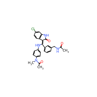 CC(=O)NCc1cccc(C(Nc2ccc(N(C)C(C)=O)cc2)=C2C(=O)Nc3cc(Cl)ccc32)c1